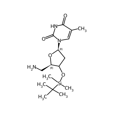 Cc1cn([C@H]2CC(O[Si](C)(C)C(C)(C)C)[C@@H](CN)O2)c(=O)[nH]c1=O